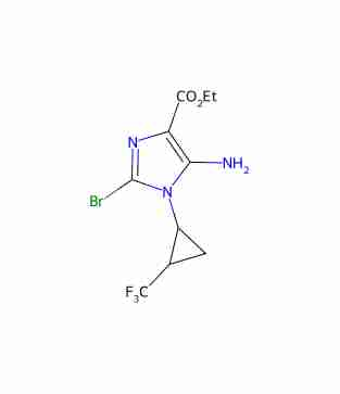 CCOC(=O)c1nc(Br)n(C2CC2C(F)(F)F)c1N